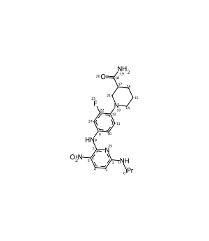 CC(C)Nc1ccc([N+](=O)[O-])c(Nc2ccc(N3CCCC(C(N)=O)C3)c(F)c2)n1